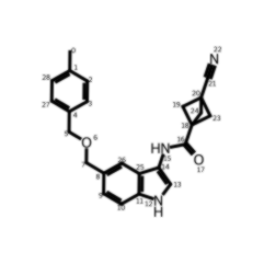 Cc1ccc(COCc2ccc3[nH]cc(NC(=O)C45CC(C#N)(C4)C5)c3c2)cc1